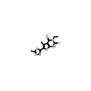 CCn1c(=O)[nH]c2sc(-c3nnc(C)o3)c(C)c2c1=O